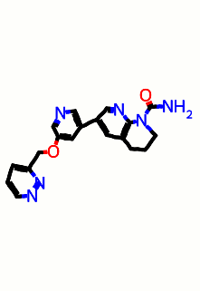 NC(=O)N1CCCc2cc(-c3cncc(OCc4cccnn4)c3)cnc21